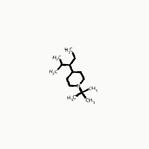 CCC(C(C)C)C1CCN(C(C)(C)C)CC1